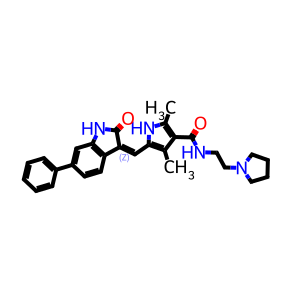 Cc1[nH]c(/C=C2\C(=O)Nc3cc(-c4ccccc4)ccc32)c(C)c1C(=O)NCCN1CCCC1